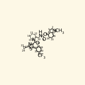 Cn1ccc2c(OC(=O)NC[C@@H]3CCCCN3C(=O)c3nc(C4CC4)sc3-c3cccc(C(F)(F)F)c3)cccc21